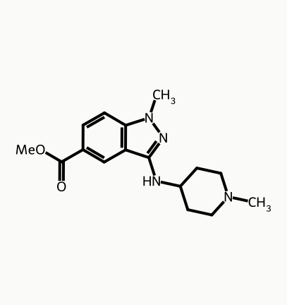 COC(=O)c1ccc2c(c1)c(NC1CCN(C)CC1)nn2C